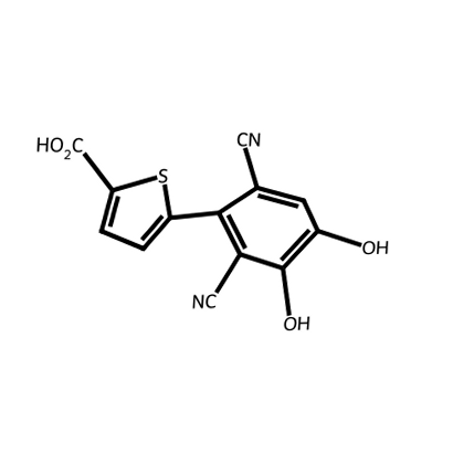 N#Cc1cc(O)c(O)c(C#N)c1-c1ccc(C(=O)O)s1